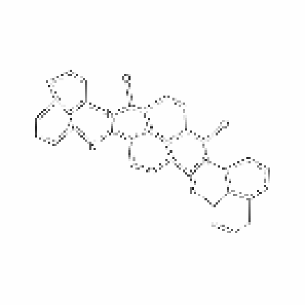 O=c1c2ccc3c(=O)n4c5cccc6cccc(nc4c4ccc(c7n1-c1cccc8c1C(C=CC8)N=7)c2c34)c65